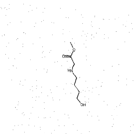 COC(=O)CNCCCCO